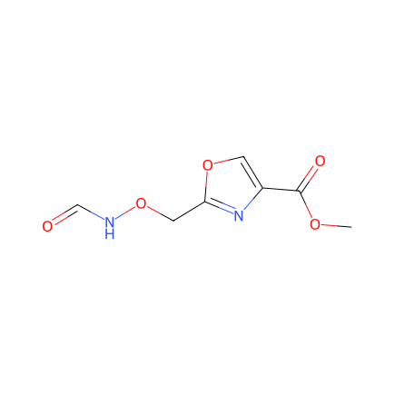 COC(=O)c1coc(CONC=O)n1